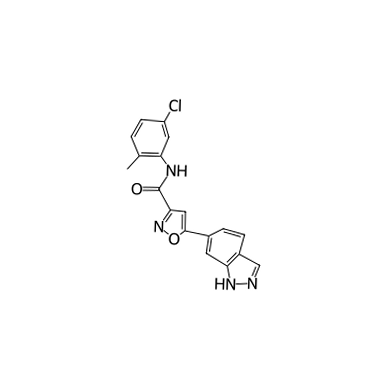 Cc1ccc(Cl)cc1NC(=O)c1cc(-c2ccc3cn[nH]c3c2)on1